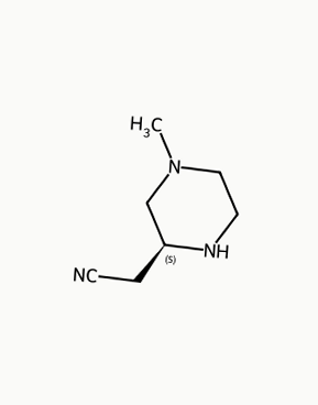 CN1CCN[C@@H](CC#N)C1